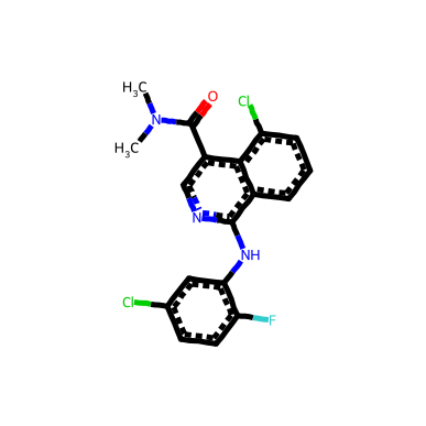 CN(C)C(=O)c1cnc(Nc2cc(Cl)ccc2F)c2cccc(Cl)c12